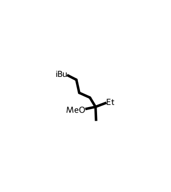 CCC(C)CCCC(C)(CC)OC